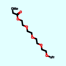 CCCOCCOCCOCCOCCOC(=O)COC